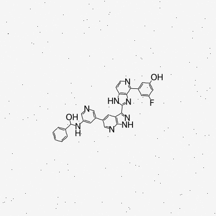 Oc1cc(F)cc(-c2nccc3[nH]c(-c4n[nH]c5ncc(-c6cncc(NC(O)c7ccccc7)c6)cc45)nc23)c1